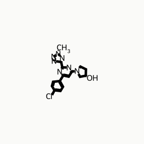 Cn1nnc(-c2nc(-c3ccc(Cl)cc3)cc(N3CCC(O)C3)n2)n1